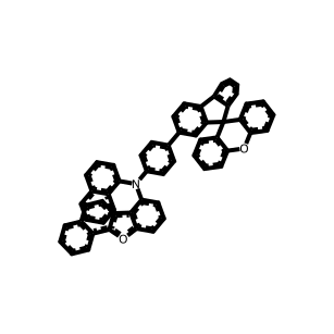 c1ccc2c(c1)Oc1ccccc1C21c2ccccc2-c2ccc(-c3ccc(N(c4cccc5ccccc45)c4cccc5oc6c7ccccc7ccc6c45)cc3)cc21